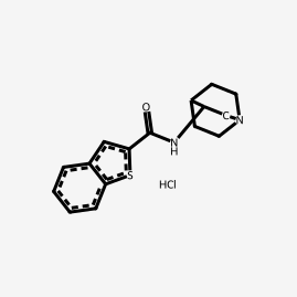 Cl.O=C(NC1CN2CCC1CC2)c1cc2ccccc2s1